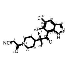 N#CCC(=O)N1CCC(C(F)(F)C(=O)c2c(F)c(Cl)cc3cn[nH]c23)CC1